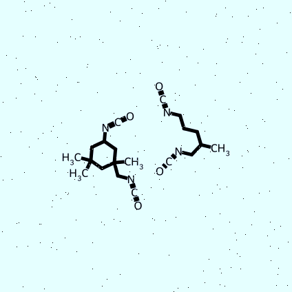 CC(CCCN=C=O)CN=C=O.CC1(C)CC(N=C=O)CC(C)(CN=C=O)C1